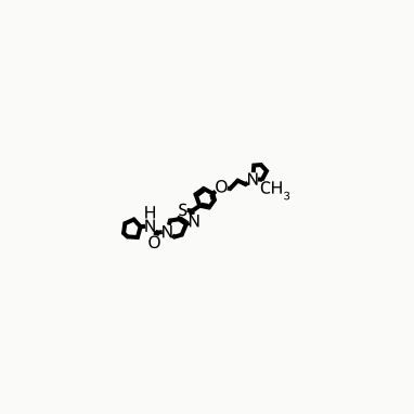 CC1CCCN1CCCOc1ccc(-c2nc3c(s2)CN(C(=O)NC2CCCCC2)CC3)cc1